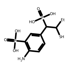 CCC(S)C(c1ccc(N)c(P(=O)(O)O)c1)P(=O)(O)O